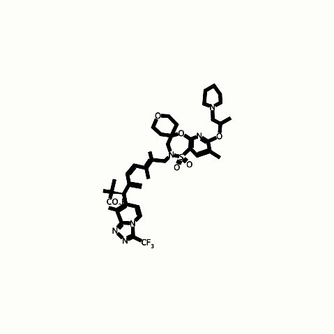 C=C(/C=C\C(C)=C(/C)CN1CC2(CCOCC2)Oc2nc(OC(C)CN3CCCCC3)c(C)cc2S1(=O)=O)[C@@H](c1ccn2c(C(F)(F)F)nnc2c1C)C(C)(C)C(=O)O